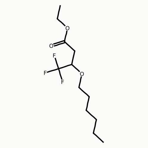 CCCCCCOC(CC(=O)OCC)C(F)(F)F